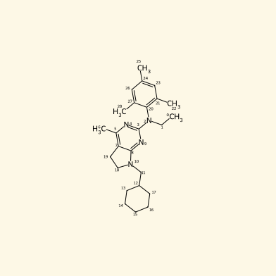 CCN(c1nc(C)c2c(n1)N(CC1CCCCC1)CC2)c1c(C)cc(C)cc1C